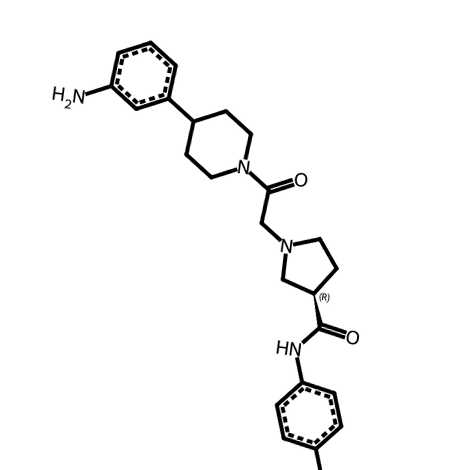 Nc1cccc(C2CCN(C(=O)CN3CC[C@@H](C(=O)Nc4ccc(O)cc4)C3)CC2)c1